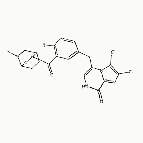 CN1CC2CCC1CN2C(=O)c1cc(Cc2c[nH]c(=O)c3cc(Cl)c(Cl)n23)ccc1F